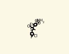 CCC(=O)c1sc(-c2ccc(F)c(Cl)c2)c(C)c1-c1ccc(S(N)(=O)=O)cc1